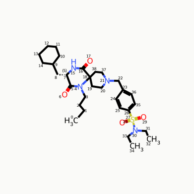 CCCCN1C(=O)[C@H](CC2CCCCC2)NC(=O)C12CCN(Cc1ccc(S(=O)(=O)N(CC)CC)cc1)CC2